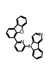 c1cc(-c2cccc3c2oc2ccccc23)nc(-n2c3ccccc3c3cnccc32)c1